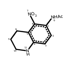 CC(=O)Nc1ccc2c(c1[N+](=O)[O-])CCCN2